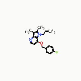 C=CCn1c(C)c(C)c2nccc(OCc3ccc(F)cc3)c21